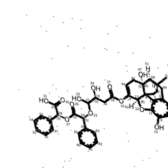 CN1CCC23c4c5ccc(O)c4O[C@H]2C(OC(=O)C[C@H](O)C(O)O[C@H](C(=O)O[C@H](C(=O)O)c2ccccc2)c2ccccc2)=CC[C@@]3(O)[C@H]1C5